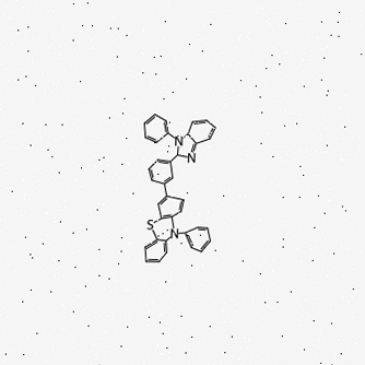 C1=CC2=NC(c3cccc(-c4ccc5c(c4)Sc4ccccc4N5c4ccccc4)c3)N(c3ccccc3)C2C=C1